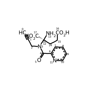 C#CCN(C(=O)c1ccccn1)[C@@](N)(CCC(=O)O)C(=O)O